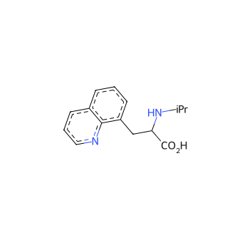 CC(C)NC(Cc1cccc2cccnc12)C(=O)O